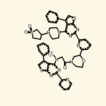 CN(CC(=O)N1CCOC(c2cccc(-c3nc(N4CCN(C5CCS(=O)(=O)C5)CC4)c4c(-c5ccccc5)csc4n3)n2)C1)c1nc(-c2ccccn2)nc2scc(-c3ccccc3)c12